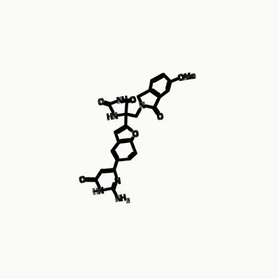 COc1ccc2c(c1)C(=O)N(CC1(c3cc4cc(-c5cc(=O)[nH]c(N)n5)ccc4o3)NC(=O)NC1=O)C2